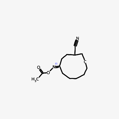 CC(=O)O/N=C1\CCCCCCCC(C#N)CC1